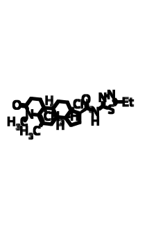 CCc1nnc(NC(=O)[C@H]2CC[C@H]3[C@@H]4CC(C)=C5N(C)C(=O)CC[C@]5(C)[C@H]4CC[C@]23C)s1